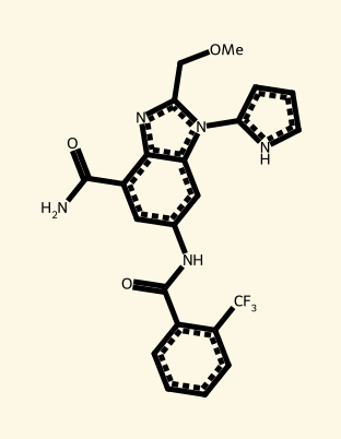 COCc1nc2c(C(N)=O)cc(NC(=O)c3ccccc3C(F)(F)F)cc2n1-c1ccc[nH]1